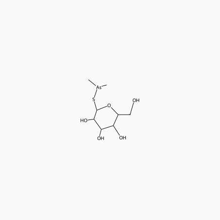 C[As](C)SC1OC(CO)C(O)C(O)C1O